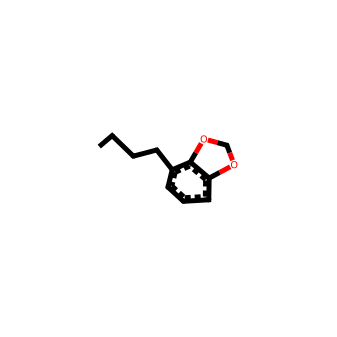 CCCCc1cccc2c1OCO2